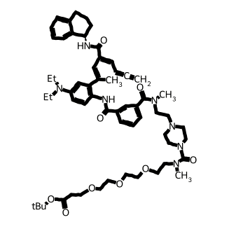 C=C=C/C=C(\C=C(/C)c1cc(N(CC)CC)ccc1NC(=O)c1cccc(C(=O)N(C)CCN2CCN(C(=O)N(C)CCOCCOCCOCCC(=O)OC(C)(C)C)CC2)c1)C(=O)N[C@H]1CCCc2ccccc21